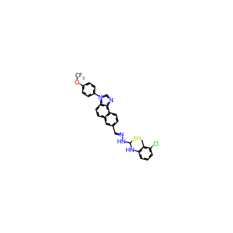 Cc1c(Cl)cccc1NC(S)N/N=C/c1ccc2c(ccc3c2ncn3-c2ccc(OC(F)(F)F)cc2)c1